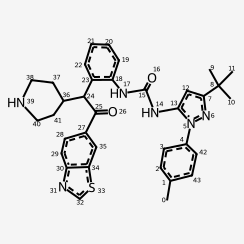 Cc1ccc(-n2nc(C(C)(C)C)cc2NC(=O)Nc2ccccc2C(C(=O)c2ccc3ncsc3c2)C2CCNCC2)cc1